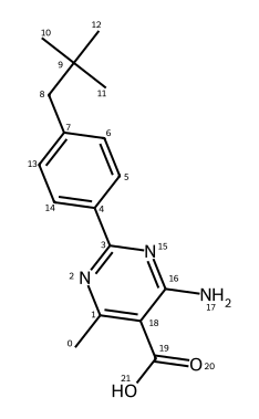 Cc1nc(-c2ccc(CC(C)(C)C)cc2)nc(N)c1C(=O)O